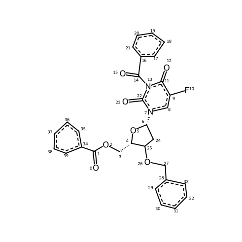 O=C(OC[C@@H]1O[C@H](n2cc(F)c(=O)n(C(=O)c3ccccc3)c2=O)CC1OCc1ccccc1)c1ccccc1